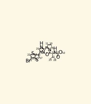 COC(=O)NC(C(=O)N1CC=C[C@H]1c1nc(-c2csc3c(Br)csc23)c[nH]1)C(C)C